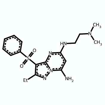 CCc1nn2c(N)cc(NCCN(C)C)nc2c1S(=O)(=O)c1ccccc1